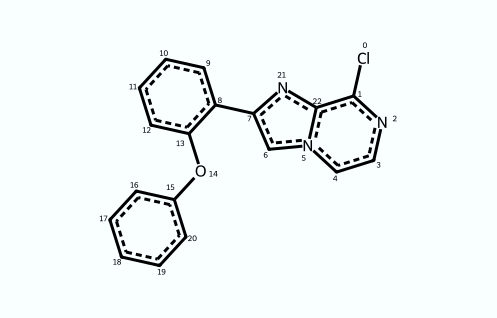 Clc1nccn2cc(-c3ccccc3Oc3ccccc3)nc12